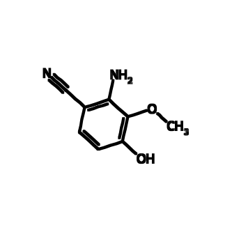 COc1c(O)ccc(C#N)c1N